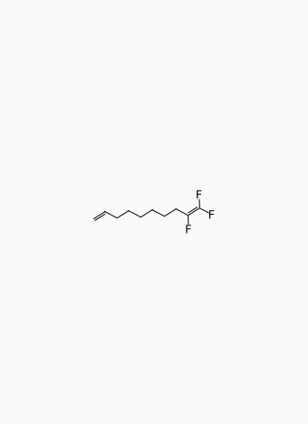 C=CCCCCCCC(F)=C(F)F